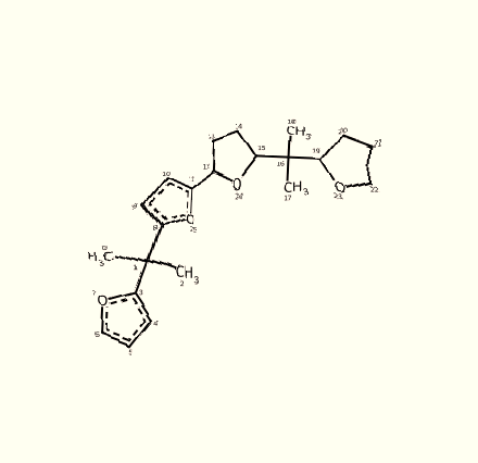 CC(C)(c1ccco1)c1ccc(C2CCC(C(C)(C)C3CCCO3)O2)o1